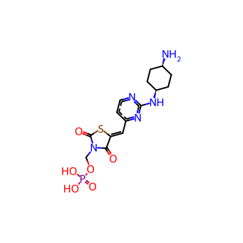 N[C@H]1CC[C@@H](Nc2nccc(/C=C3\SC(=O)N(COP(=O)(O)O)C3=O)n2)CC1